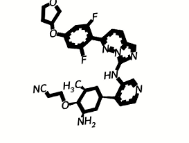 C[C@H]1C[C@@H](c2ccncc2Nc2ncc3ccc(-c4c(F)cc(OC5CCOC5)cc4F)nn23)C[C@@H](N)[C@H]1OCCC#N